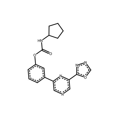 O=C(NC1CCCC1)Oc1cccc(-c2cncc(-c3nnco3)n2)c1